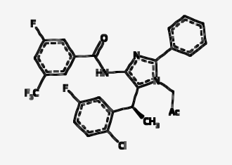 CC(=O)Cn1c(-c2ccccc2)nc(NC(=O)c2cc(F)cc(C(F)(F)F)c2)c1[C@@H](C)c1cc(F)ccc1Cl